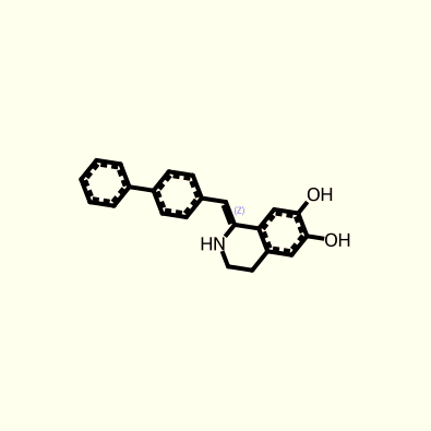 Oc1cc2c(cc1O)/C(=C/c1ccc(-c3ccccc3)cc1)NCC2